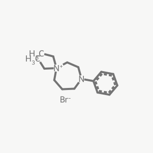 CC[N+]1(CC)CCCN(c2ccccc2)CC1.[Br-]